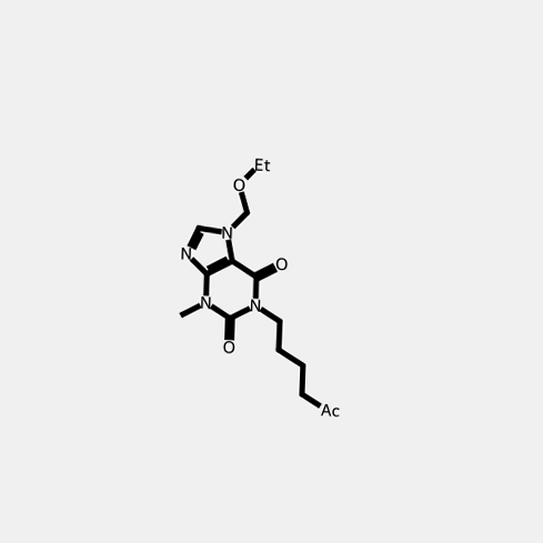 CCOCn1cnc2c1c(=O)n(CCCCC(C)=O)c(=O)n2C